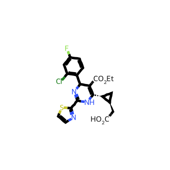 CCOC(=O)C1=C([C@@H]2C[C@H]2CC(=O)O)NC(c2nccs2)=NC1c1ccc(F)cc1Cl